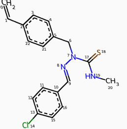 C=Cc1ccc(CN(N=Cc2ccc(Cl)cc2)C(=S)NC)cc1